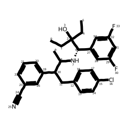 CCC(O)(CC)[C@@H](NC(C)C(Cc1ccc(Cl)cc1)c1cccc(C#N)c1)c1cc(F)cc(F)c1